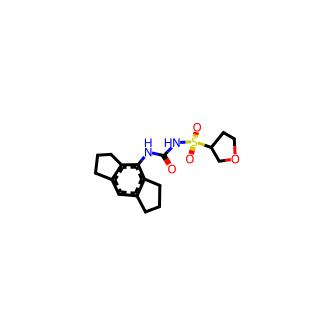 O=C(Nc1c2c(cc3c1CCC3)CCC2)NS(=O)(=O)C1CCOC1